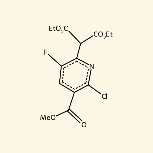 CCOC(=O)C(C(=O)OCC)c1nc(Cl)c(C(=O)OC)cc1F